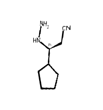 N#CC[C@H](NN)C1CCCC1